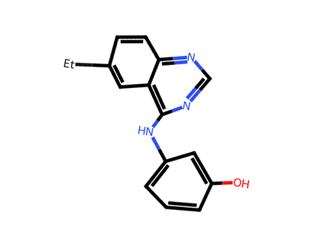 CCc1ccc2ncnc(Nc3cccc(O)c3)c2c1